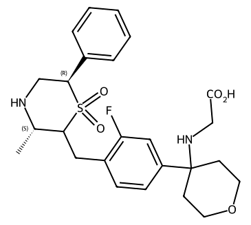 C[C@@H]1NC[C@@H](c2ccccc2)S(=O)(=O)C1Cc1ccc(C2(NCC(=O)O)CCOCC2)cc1F